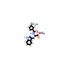 CCCCOC(=O)[C@H](Cc1c[nH]c2ccccc12)NC(=O)C1CCC(S(=O)(=O)O)C1